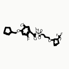 O=C(NS(=O)(=O)CCCOc1cccc(C(F)(F)F)c1)c1cc(Cl)c(OCC2CCCC2)cc1F